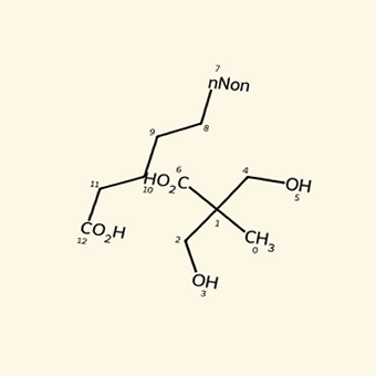 CC(CO)(CO)C(=O)O.CCCCCCCCCCCCCC(=O)O